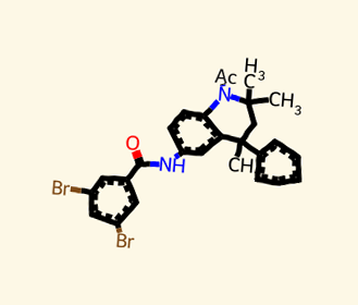 CC(=O)N1c2ccc(NC(=O)c3cc(Br)cc(Br)c3)cc2C(C)(c2ccccc2)CC1(C)C